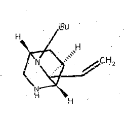 C=C[C@H]1[C@@H]2CC[C@@H](CN2)N1C(C)CC